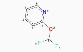 FC(F)Oc1[c]cccn1